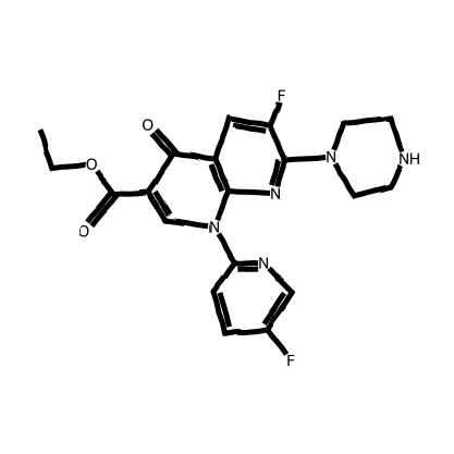 CCOC(=O)c1cn(-c2ccc(F)cn2)c2nc(N3CCNCC3)c(F)cc2c1=O